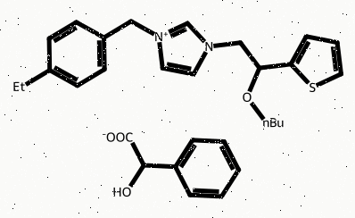 CCCCOC(Cn1cc[n+](Cc2ccc(CC)cc2)c1)c1cccs1.O=C([O-])C(O)c1ccccc1